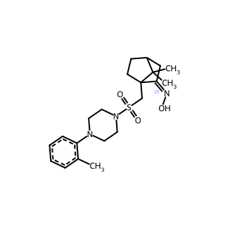 Cc1ccccc1N1CCN(S(=O)(=O)CC23CCC(C/C2=N/O)C3(C)C)CC1